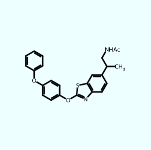 CC(=O)NCC(C)c1ccc2nc(Oc3ccc(Oc4ccccc4)cc3)sc2c1